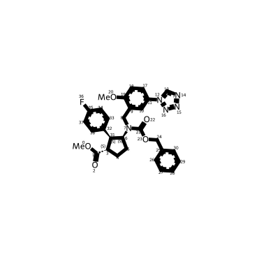 COC(=O)[C@H]1CC[C@H](N(Cc2cc(-n3cnnn3)ccc2OC)C(=O)OCc2ccccc2)[C@@H]1c1ccc(F)cc1